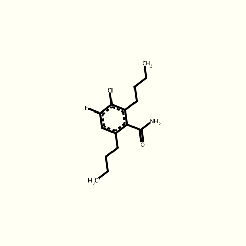 CCCCc1cc(F)c(Cl)c(CCCC)c1C(N)=O